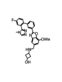 COc1cc(CNC2CC(O)C2)cc2nc(-c3cccc(-c4ccc(F)cc4-c4nncn4C)c3)oc12